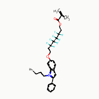 C=C(C)C(=O)OCCC(F)(F)C(F)(F)C(F)(F)C(F)(F)CCOc1ccc2cc(-c3ccccc3)n(CCCC(C)C)c2c1